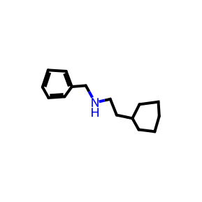 c1ccc(CNCCC2CCCCC2)cc1